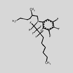 CCCCCCC(F)(F)C(F)(F)C(F)(F)P(CC(C)CCC)c1cc(F)c(F)c(F)c1F